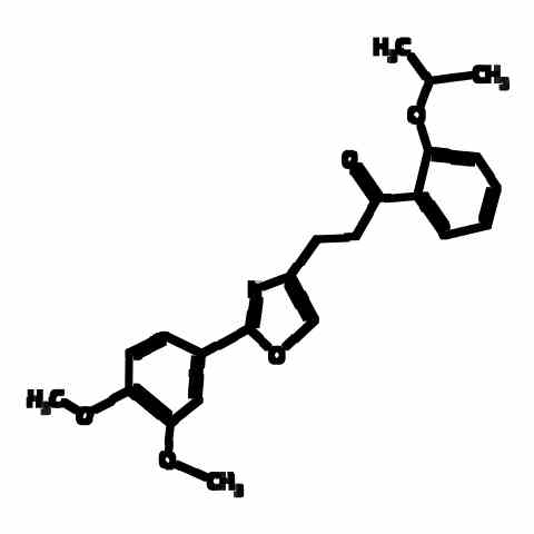 COc1ccc(-c2nc(CCC(=O)c3ccccc3OC(C)C)co2)cc1OC